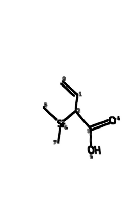 C=CC(C(=O)O)[Si](C)C